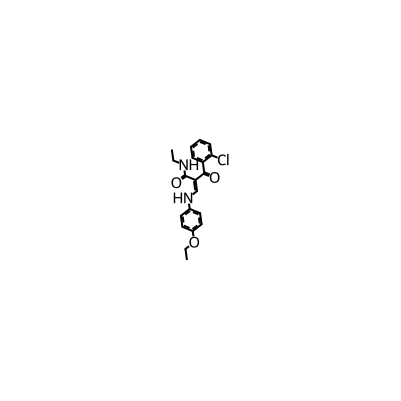 CCNC(=O)C(=CNc1ccc(OCC)cc1)C(=O)c1ccccc1Cl